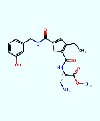 CCc1cc(C(=O)NCc2cccc(O)c2)sc1C(=O)N[C@@H](CN)C(=O)OC